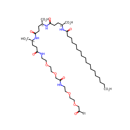 CCC(=O)COCCOCCNC(=O)COCCOCCNC(=O)CC[C@H](NC(=O)CC[C@H](NC(=O)CC[C@H](NC(=O)CCCCCCCCCCCCCCCCC(=O)O)C(=O)O)C(=O)O)C(=O)O